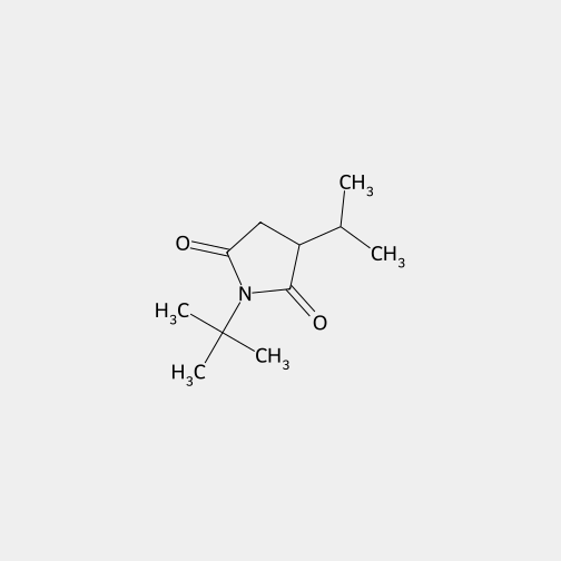 CC(C)C1CC(=O)N(C(C)(C)C)C1=O